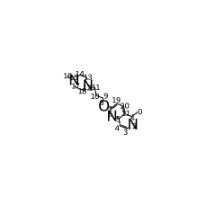 Cc1nccc2nc(OCCCN3CCN(C)CC3)ccc12